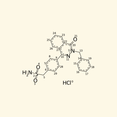 Cl.NS(=O)(=O)Cc1ccc(-c2nn(Cc3ccccc3)c(=O)c3ccccc23)cc1